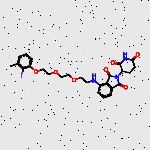 Cc1cccc(OCCOCCOCCNc2cccc3c2C(=O)N(C2CCC(=O)NC2=O)C3=O)c1I